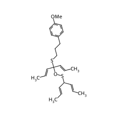 CC=CC(C=CC)SOC(C=CC)(C=CC)SCCCc1ccc(OC)cc1